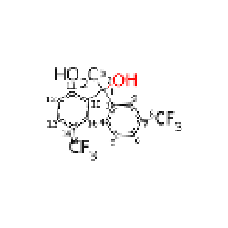 O=C(O)C(O)(c1cccc(C(F)(F)F)c1)c1cccc(C(F)(F)F)c1